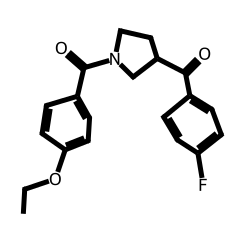 CCOc1ccc(C(=O)N2CCC(C(=O)c3ccc(F)cc3)C2)cc1